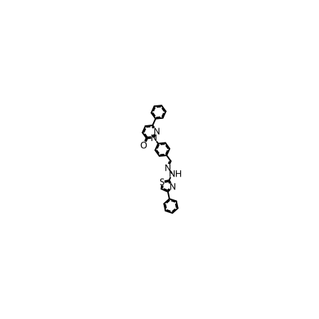 O=c1ccc(-c2ccccc2)nn1-c1ccc(C=NNc2nc(-c3ccccc3)cs2)cc1